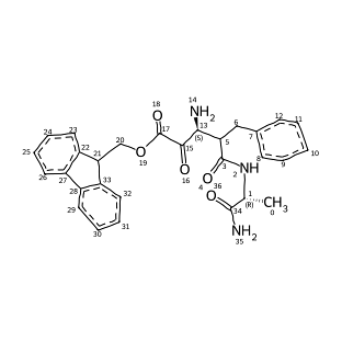 C[C@@H](NC(=O)C(Cc1ccccc1)[C@H](N)C(=O)C(=O)OCC1c2ccccc2-c2ccccc21)C(N)=O